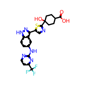 O=C(O)C1CCC(O)(c2ncc(-c3n[nH]c4ccc(Nc5nccc(C(F)(F)F)n5)cc34)s2)CC1